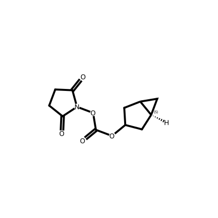 O=C(OC1CC2C[C@H]2C1)ON1C(=O)CCC1=O